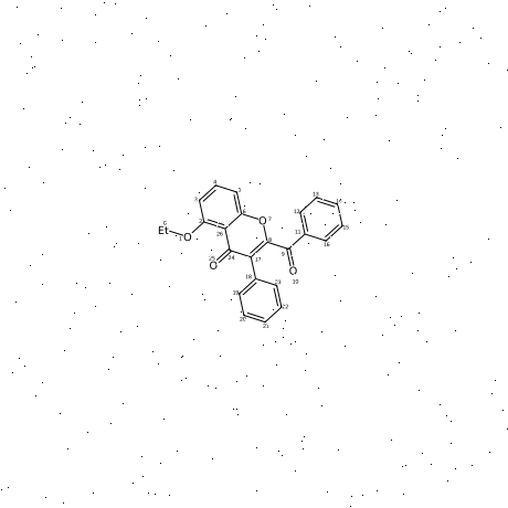 CCOc1cccc2oc(C(=O)c3ccccc3)c(-c3ccccc3)c(=O)c12